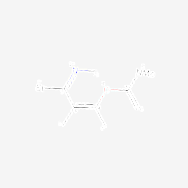 C=C(NC)O/C(C)=C(C)\C(CC)=N/C